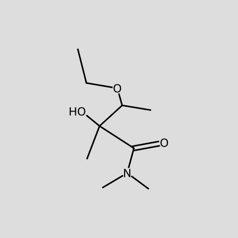 CCOC(C)C(C)(O)C(=O)N(C)C